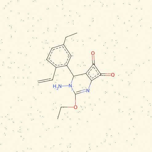 C=Cc1ccc(CC)[c]c1C1c2c(c(=O)c2=O)N=C(OCC)N1N